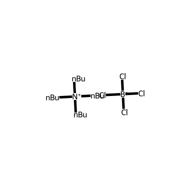 CCCC[N+](CCCC)(CCCC)CCCC.Cl[B-](Cl)(Cl)Cl